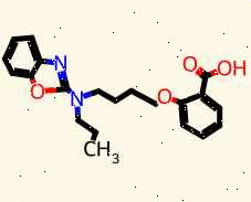 CCCN(CCCCOc1ccccc1C(=O)O)c1nc2ccccc2o1